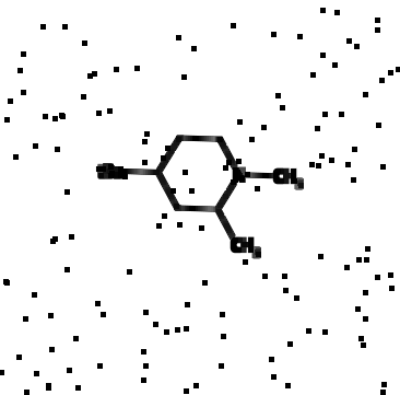 CC1CC(C(C)(C)C)CCN1C